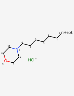 CCCCCCCCCCCCCN1CCOCC1.Cl